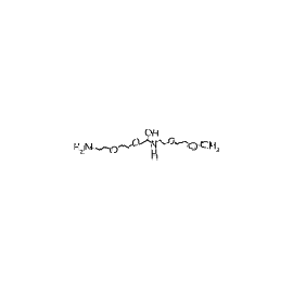 COCCOCCNC(O)COCCOCCN